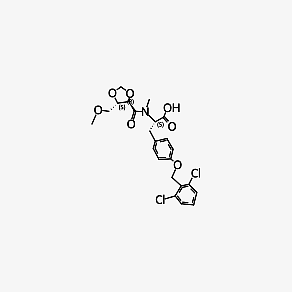 COC[C@@H]1OCO[C@H]1C(=O)N(C)[C@@H](Cc1ccc(OCc2c(Cl)cccc2Cl)cc1)C(=O)O